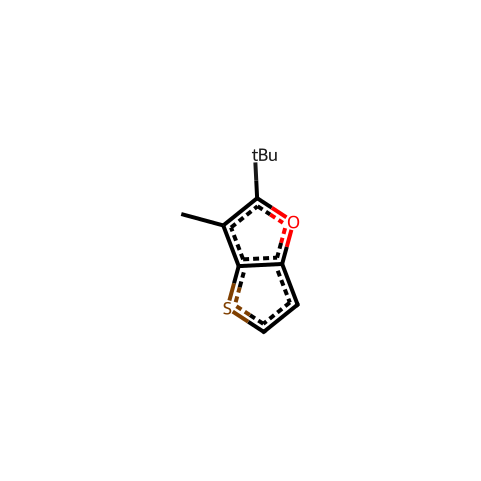 Cc1c(C(C)(C)C)oc2ccsc12